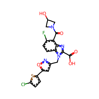 O=C(O)c1nc2c(C(=O)N3CC(O)C3)c(F)ccc2n1Cc1cc(-c2ccc(Cl)s2)on1